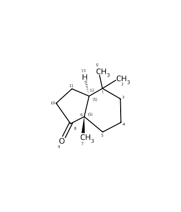 CC1(C)CCC[C@]2(C)C(=O)CC[C@@H]12